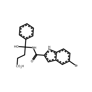 O=C(O)CCC(O)(NC(=O)c1cc2cc(Br)ccc2[nH]1)c1ccccc1